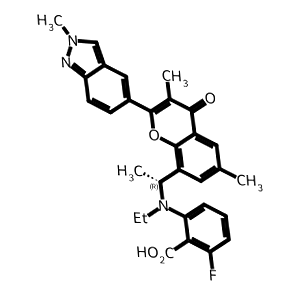 CCN(c1cccc(F)c1C(=O)O)[C@H](C)c1cc(C)cc2c(=O)c(C)c(-c3ccc4nn(C)cc4c3)oc12